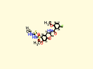 CCNC(=S)NS(=O)(=O)c1cc2c(cc1OC)OCC(NC(=O)c1cc(F)ccc1OC)C2